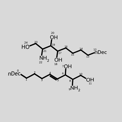 CCCCCCCCCCCCC/C=C/C(O)C(N)CO.CCCCCCCCCCCCCCC(O)C(O)C(N)CO